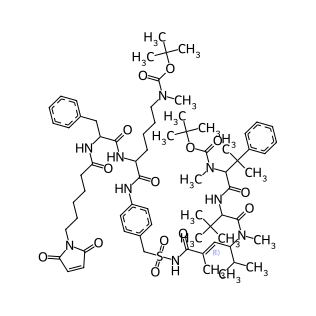 C/C(=C\C(C(C)C)N(C)C(=O)C(NC(=O)C(N(C)C(=O)OC(C)(C)C)C(C)(C)c1ccccc1)C(C)(C)C)C(=O)NS(=O)(=O)Cc1ccc(NC(=O)C(CCCCN(C)C(=O)OC(C)(C)C)NC(=O)C(Cc2ccccc2)NC(=O)CCCCCN2C(=O)C=CC2=O)cc1